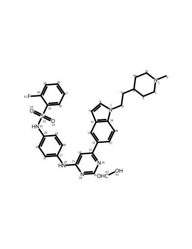 CN1CCC(CCn2ccc3cc(-c4cc(Nc5ccc(NS(=O)(=O)c6ccccc6F)cc5)ncn4)ccc32)CC1.O=CO